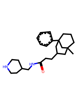 CC12CCCC(c3ccccc3)(CC(CCC(=O)NCC3CCNCC3)C1)C2